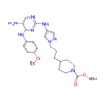 CCOc1ccc(Nc2nc(Nc3cnn(CCCC4CCN(C(=O)OC(C)(C)C)CC4)c3)ncc2N)cc1